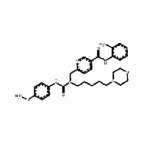 COc1ccc(NC(=O)N(CCCCCN2CCOCC2)Cc2ccc(C(=O)Nc3ccccc3N)cn2)cc1